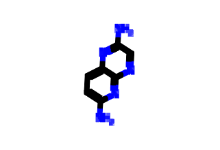 Nc1cnc2nc(N)ccc2n1